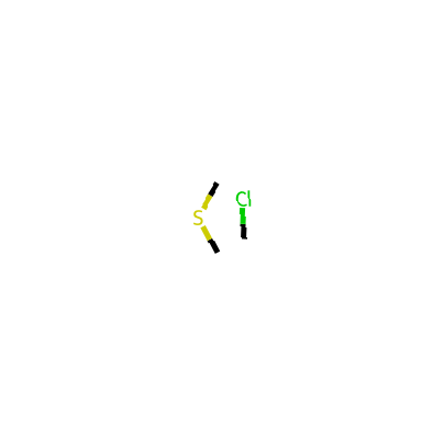 CCl.CSC